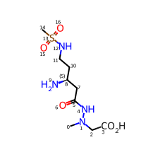 CN(CC(=O)O)NC(=O)C[C@@H](N)CCNS(C)(=O)=O